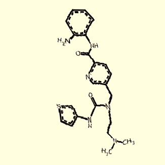 CN(C)CCN(Cc1ccc(C(=O)Nc2ccccc2N)nc1)C(=O)Nc1ccsc1